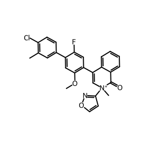 COc1cc(-c2ccc(Cl)c(C)c2)c(F)cc1C1=C[N+](C)(c2ccon2)C(=O)c2ccccc21